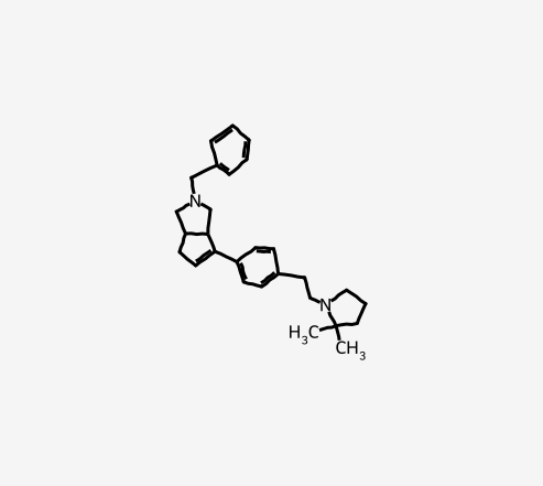 CC1(C)CCCN1CCc1ccc(C2=CCC3CN(Cc4ccccc4)CC23)cc1